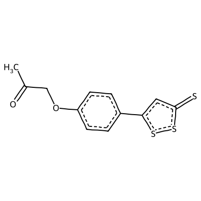 CC(=O)COc1ccc(-c2cc(=S)ss2)cc1